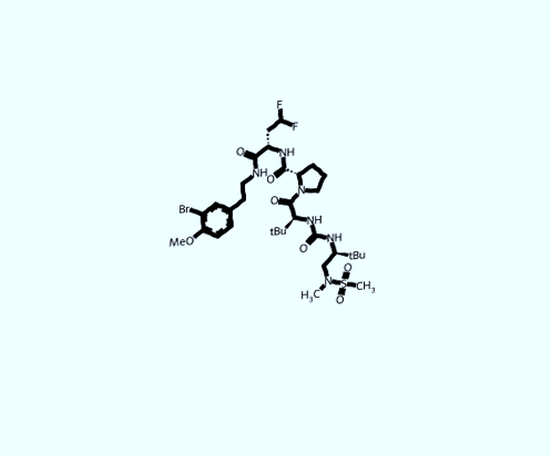 COc1ccc(CCNC(=O)[C@H](CC(F)F)NC(=O)[C@@H]2CCCN2C(=O)[C@@H](NC(=O)N[C@H](CN(C)S(C)(=O)=O)C(C)(C)C)C(C)(C)C)cc1Br